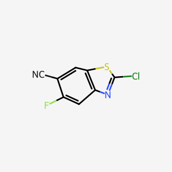 N#Cc1cc2sc(Cl)nc2cc1F